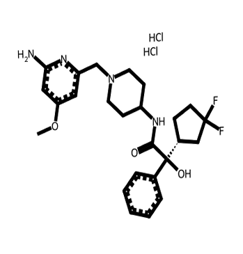 COc1cc(N)nc(CN2CCC(NC(=O)C(O)(c3ccccc3)[C@@H]3CCC(F)(F)C3)CC2)c1.Cl.Cl